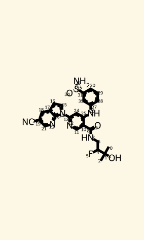 CC(C)(O)C(F)CNC(=O)c1cnc(-n2ccc3cc(C#N)cnc32)cc1Nc1cccc([S+](N)[O-])c1